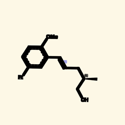 CCc1ccc(OC)c(/C=C/C[C@H](C)CO)c1